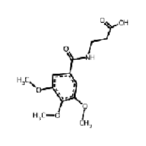 COc1cc(C(=O)NCCC(=O)O)cc(OC)c1OC